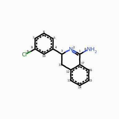 NC1=NC(c2cccc(Cl)c2)Cc2ccccc21